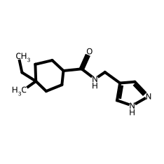 CCC1(C)CCC(C(=O)NCc2cn[nH]c2)CC1